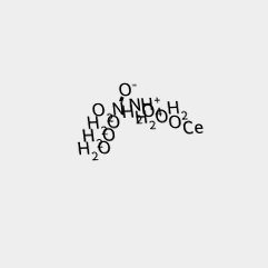 O.O.O.O.O.O.O=[N+]([O-])[O-].[Ce].[NH4+]